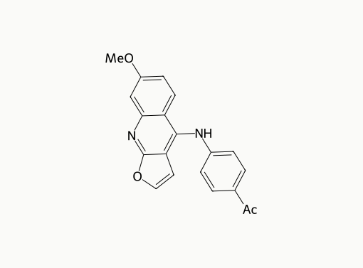 COc1ccc2c(Nc3ccc(C(C)=O)cc3)c3ccoc3nc2c1